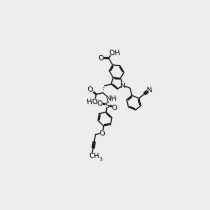 CC#CCOc1ccc(S(=O)(=O)N[C@@H](Cc2cn(Cc3ccccc3C#N)c3ccc(C(=O)O)cc23)C(=O)O)cc1